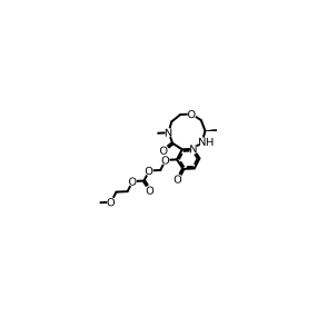 COCCOC(=O)OCOc1c2n(ccc1=O)N[C@H](C)COCCN(C)C2=O